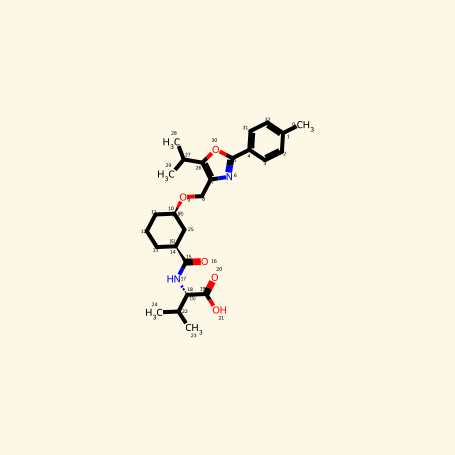 Cc1ccc(-c2nc(CO[C@@H]3CCC[C@H](C(=O)N[C@H](C(=O)O)C(C)C)C3)c(C(C)C)o2)cc1